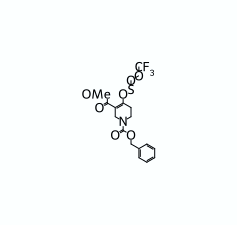 COC(=O)C1=C(OSOOC(F)(F)F)CCN(C(=O)OCc2ccccc2)C1